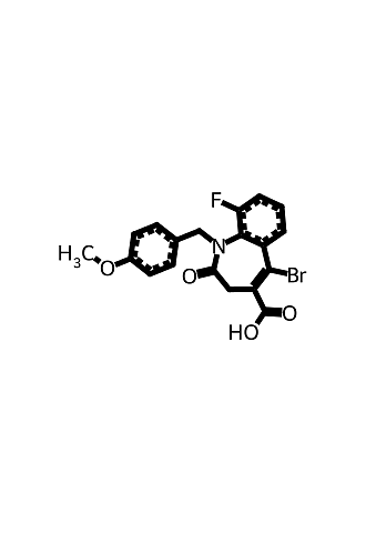 COc1ccc(CN2C(=O)CC(C(=O)O)=C(Br)c3cccc(F)c32)cc1